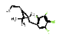 CC1(C)[C@@H](/C=C\C#N)[C@@]1(Cc1cc(F)c(F)c(F)c1F)C(=O)O